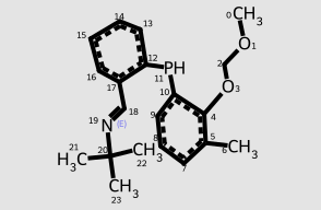 COCOc1c(C)cccc1Pc1ccccc1/C=N/C(C)(C)C